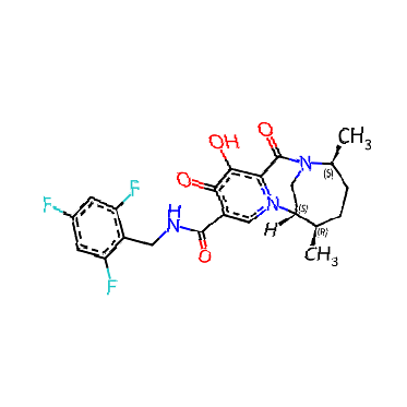 C[C@@H]1CC[C@H](C)N2C[C@H]1n1cc(C(=O)NCc3c(F)cc(F)cc3F)c(=O)c(O)c1C2=O